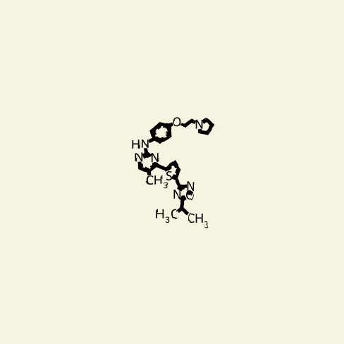 Cc1cnc(Nc2ccc(OCCN3CCCC3)cc2)nc1-c1ccc(-c2noc(C(C)C)n2)s1